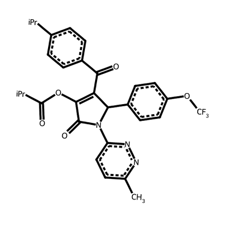 Cc1ccc(N2C(=O)C(OC(=O)C(C)C)=C(C(=O)c3ccc(C(C)C)cc3)C2c2ccc(OC(F)(F)F)cc2)nn1